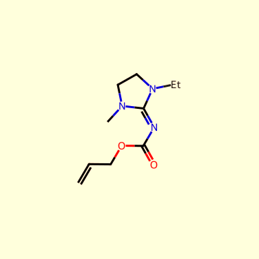 [CH2]CN1CCN(C)C1=NC(=O)OCC=C